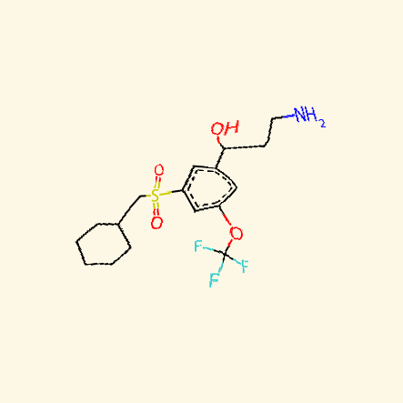 NCCC(O)c1cc(OC(F)(F)F)cc(S(=O)(=O)CC2CCCCC2)c1